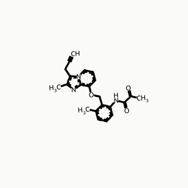 C#CCc1c(C)nc2c(OCc3c(C)cccc3NC(=O)C(C)=O)cccn12